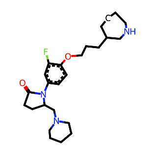 O=C1CCC(CN2CCCCC2)N1c1ccc(OCCCC2CCCCNC2)c(F)c1